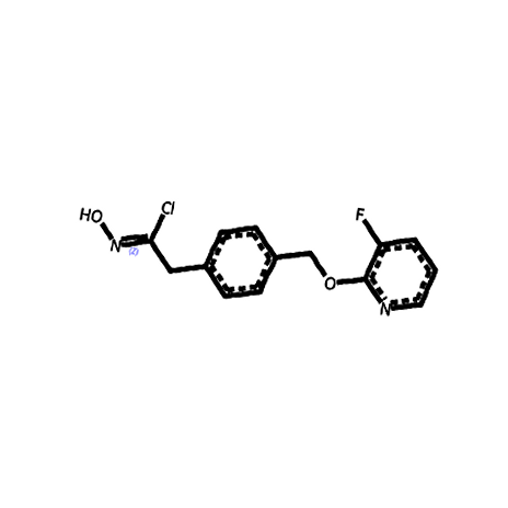 O/N=C(\Cl)Cc1ccc(COc2ncccc2F)cc1